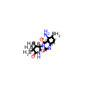 Bc1ccc2nc(C)n(C3(B)C(=O)NC(=O)C(B)(B)C3B)c(=O)c2c1N